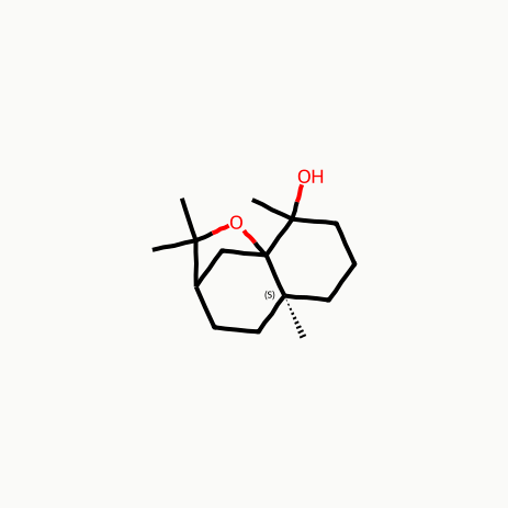 CC1(C)OC23CC1CC[C@]2(C)CCCC3(C)O